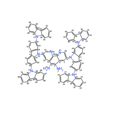 Nc1c(N)c2cc(-n3c4cc(-n5c6ccccc6c6ccccc65)ccc4c4ccc(-n5c6ccccc6c6ccccc65)cc43)cnc2c2ncc(-n3c4cc(-n5c6ccccc6c6ccccc65)ccc4c4ccc(-n5c6ccccc6c6ccccc65)cc43)cc12